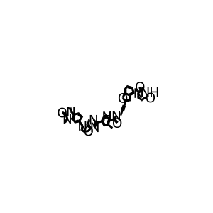 Cc1cc(-c2ncc3c(n2)OCCN3c2ccc3c(c2)n(C)c(=O)n3C)cnc1C(=O)NCC#Cc1cc2c(N3CCC(=O)NC3=O)cccc2o1